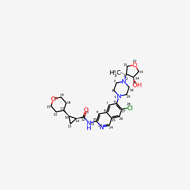 C[C@]1(N2CCN(c3cc4cc(NC(=O)[C@H]5C[C@H]5C5CCOCC5)ncc4cc3Cl)CC2)COC[C@H]1O